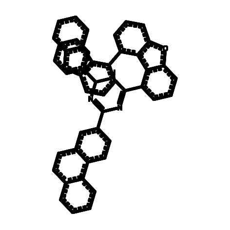 c1ccc(C2N=C(c3ccc4c(ccc5ccccc54)c3)N=C(c3cccc4oc5cccc(-c6cccc7sc8ccccc8c67)c5c34)N2)cc1